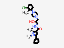 Cc1c(Cl)cccc1N1CCN(CC(O)CNC(=O)c2cc(-c3ccccc3)n(C)c2C)CC1